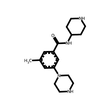 Cc1cc(C(=O)NC2CCNCC2)cc(N2CCNCC2)c1